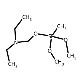 CCN(CC)CO[Si](C)(OC)OC